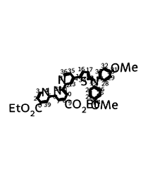 CCOC(=O)c1ccnc(-c2cc(C(=O)OCC)cc(-c3cc(-c4ccc(N(c5ccc(OC)cc5)c5ccc(OC)cc5)s4)ccn3)n2)c1